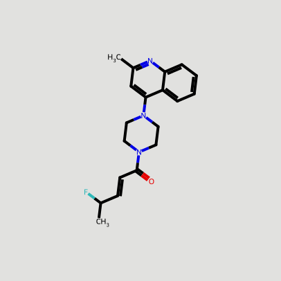 Cc1cc(N2CCN(C(=O)/C=C/C(C)F)CC2)c2ccccc2n1